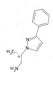 C[C@@H](CN)n1ccc(-c2ccccc2)n1